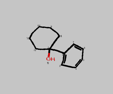 OC1(c2ccccc2)CCCCC1